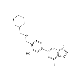 Cc1cc(-c2ccc(CNCC3CCCCC3)cc2)cc2[nH]cnc12.Cl